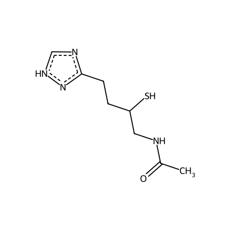 CC(=O)NCC(S)CCc1nc[nH]n1